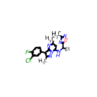 CCC(Nc1cc(C)nc2c(-c3ccc(F)c(Cl)c3)c(C)nn12)c1nc(C)no1